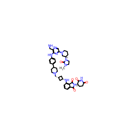 CN1CCN([C@@H]2CCCN(c3cnc(CN)c(Nc4ccc(C5CCN(C[C@H]6C[C@@H](Nc7cccc8c7C(=O)N([C@@H]7CCC(=O)NC7=O)C8=O)C6)CC5)cc4)n3)C2)C1=O